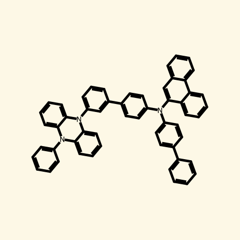 c1ccc(-c2ccc(N(c3ccc(-c4cccc(N5c6ccccc6N(c6ccccc6)c6ccccc65)c4)cc3)c3cc4ccccc4c4ccccc34)cc2)cc1